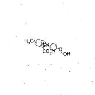 CN1CC2CC(c3ccc(OCO)cc3)=C(C(=O)O)C(C1)N2C